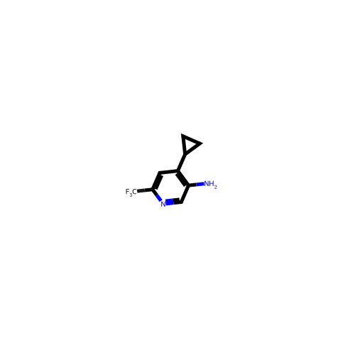 Nc1cnc(C(F)(F)F)cc1C1CC1